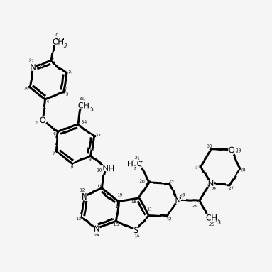 Cc1ccc(Oc2ccc(Nc3ncnc4sc5c(c34)C(C)CN(C(C)N3CCOCC3)C5)cc2C)cn1